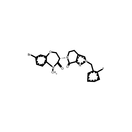 CN1C(=O)[C@@H](N2CCc3cn(Cc4ccccc4F)nc3C2=O)COc2cc(Br)ccc21